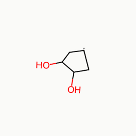 OC1C[CH]CC1O